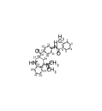 Cc1ccccc1C(=O)Nc1ccc(C(=O)C2CNc3ccccc3C(N(C)C)C2)cc1